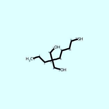 CCCC(CO)(CO)CCCCS